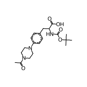 CC(=O)N1CCN(c2ccc(CC(NC(=O)OC(C)(C)C)C(=O)O)cc2)CC1